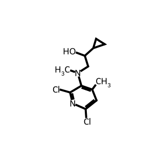 Cc1cc(Cl)nc(Cl)c1N(C)CC(O)C1CC1